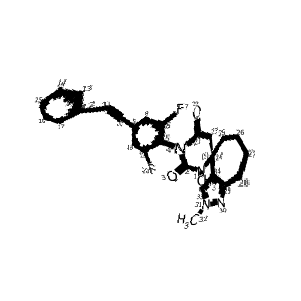 CN1C(=O)N(c2c(F)cc(C#Cc3ccccc3)cc2F)C(=O)C[C@]12CCCCc1nn(C)cc12